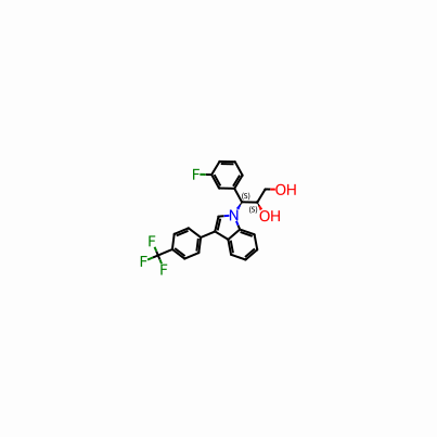 OC[C@@H](O)[C@H](c1cccc(F)c1)n1cc(-c2ccc(C(F)(F)F)cc2)c2ccccc21